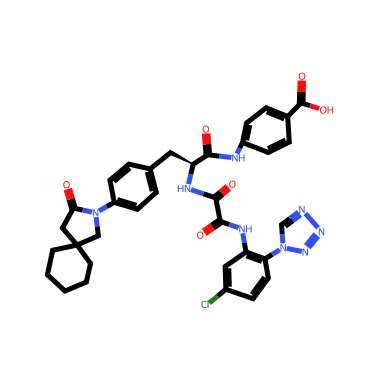 O=C(Nc1cc(Cl)ccc1-n1cnnn1)C(=O)N[C@@H](Cc1ccc(N2CC3(CCCCC3)CC2=O)cc1)C(=O)Nc1ccc(C(=O)O)cc1